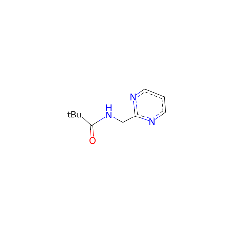 CC(C)(C)C(=O)NCc1ncccn1